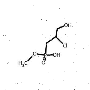 COP(=O)(O)CC(Cl)CO